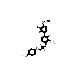 CCCCOc1ccc(-c2ccc(OC(F)(F)COC3CCC(CCCC)CC3)c(C)c2F)c(F)c1F